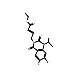 CCOC(=O)/C=C/Cn1c(=O)c2cc(F)c(F)cc2n(C(C)C)c1=O